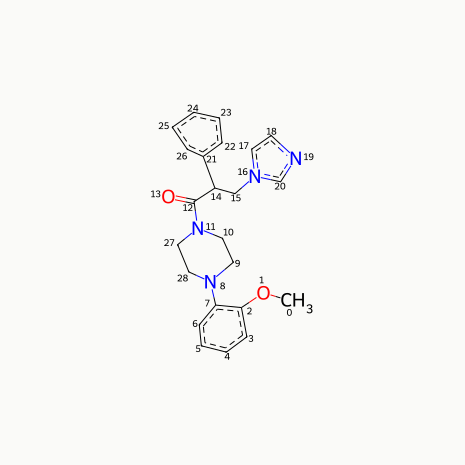 COc1ccccc1N1CCN(C(=O)C(Cn2ccnc2)c2ccccc2)CC1